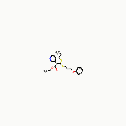 C=CCSC(SCCCOc1ccccc1)=C(C(=O)OCC)c1cccnc1